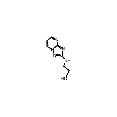 OCCNc1nc2ncccn2n1